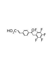 O=C(O)C=Cc1ccc(C(=O)Cc2c(F)c(F)c(F)c(F)c2F)cc1